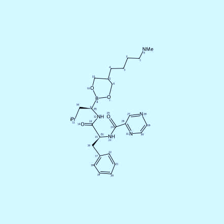 CNCCCCC1COB([C@H](CC(C)C)NC(=O)[C@H](Cc2ccccc2)NC(=O)c2cnccn2)OC1